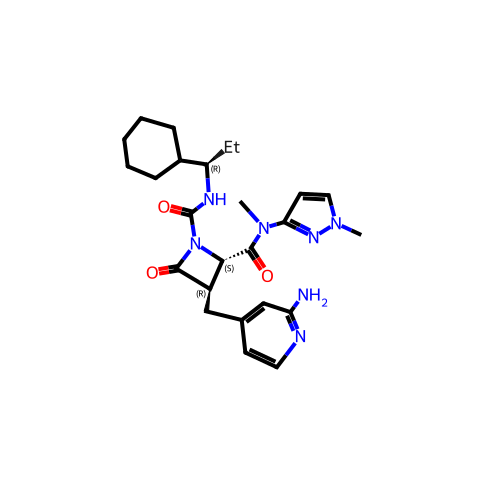 CC[C@@H](NC(=O)N1C(=O)[C@H](Cc2ccnc(N)c2)[C@H]1C(=O)N(C)c1ccn(C)n1)C1CCCCC1